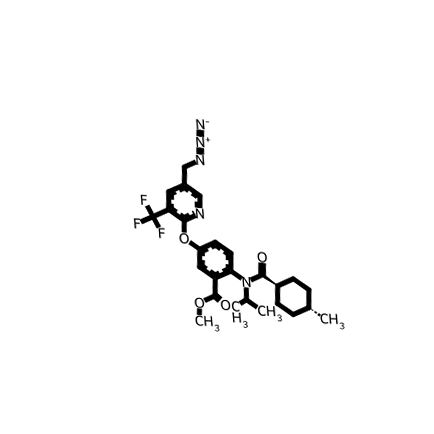 COC(=O)c1cc(Oc2ncc(CN=[N+]=[N-])cc2C(F)(F)F)ccc1N(C(=O)[C@H]1CC[C@H](C)CC1)C(C)C